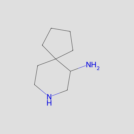 NC1CNCCC12CCCC2